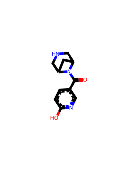 O=C(c1ccc(O)nc1)N1C2CNCC1C2